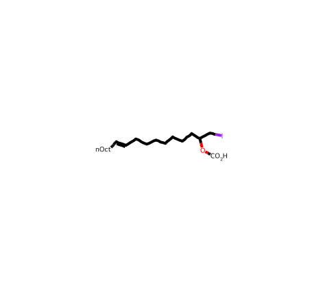 CCCCCCCCC=CCCCCCCCC(CI)OC(=O)O